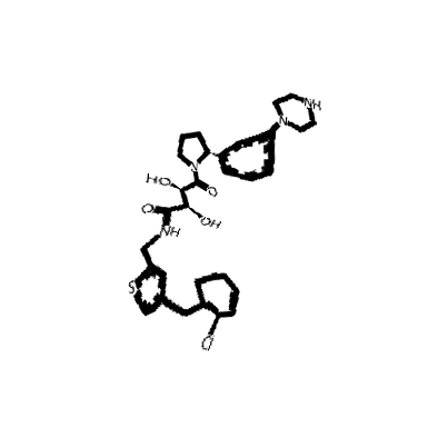 O=C(NCc1cc(CC2=C(Cl)C=CCC2)cs1)[C@H](O)[C@@H](O)C(=O)N1CCC[C@@H]1c1cccc(N2CCNCC2)c1